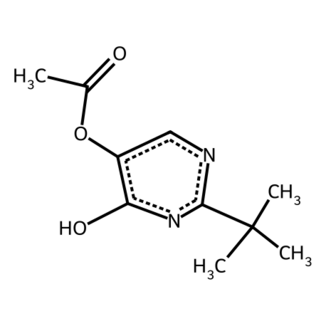 CC(=O)Oc1cnc(C(C)(C)C)nc1O